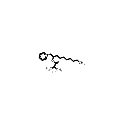 C=C(C)C(=O)OC(CCCCCCCC)C[n+]1ccccc1.[Cl-]